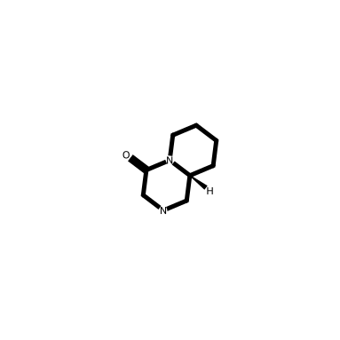 O=C1C[N]C[C@H]2CCCCN12